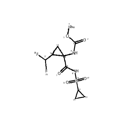 CC(C)(C)OC(=O)NC1(C(=O)NS(=O)(=O)C2CC2)CC1C(F)F